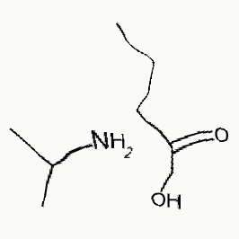 CC(C)N.CCCC(=O)O